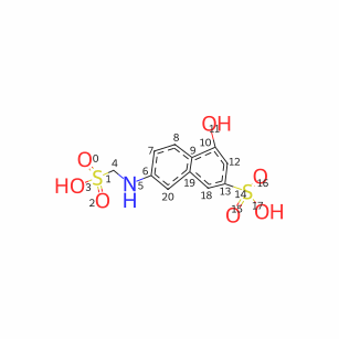 O=S(=O)(O)CNc1ccc2c(O)cc(S(=O)(=O)O)cc2c1